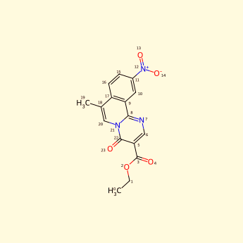 CCOC(=O)c1cnc2c3cc([N+](=O)[O-])ccc3c(C)cn2c1=O